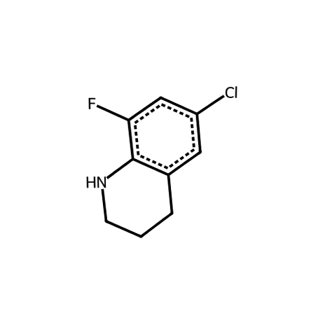 Fc1cc(Cl)cc2c1NCCC2